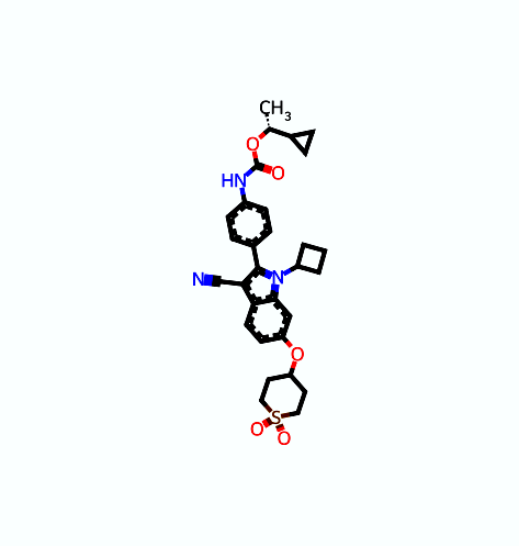 C[C@@H](OC(=O)Nc1ccc(-c2c(C#N)c3ccc(OC4CCS(=O)(=O)CC4)cc3n2C2CCC2)cc1)C1CC1